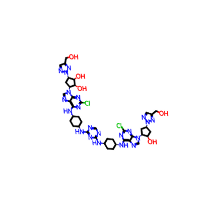 OCc1cnn([C@@H]2C[C@@H](O)[C@H](n3cnc4c(N[C@H]5CC[C@H](Nc6ncnc(N[C@H]7CC[C@H](Nc8nc(Cl)nc9c8ncn9[C@@H]8C[C@H](n9ncc(CO)n9)[C@@H](O)[C@H]8O)CC7)n6)CC5)nc(Cl)nc43)C2)n1